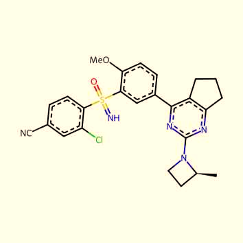 COc1ccc(-c2nc(N3CC[C@@H]3C)nc3c2CCC3)cc1S(=N)(=O)c1ccc(C#N)cc1Cl